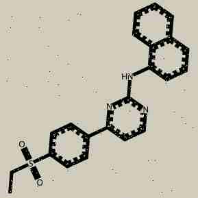 CCS(=O)(=O)c1ccc(-c2ccnc(Nc3cccc4ccccc34)n2)cc1